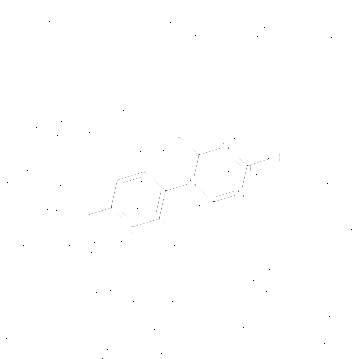 Fc1ccc(N2C=NC(Cl)=NC2Cl)cc1